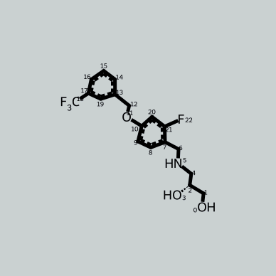 OC[C@H](O)CNCc1ccc(OCc2cccc(C(F)(F)F)c2)cc1F